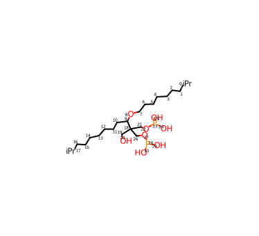 CC(C)CCCCCCCOC(CCCCCCCC(C)C)C(CO)(COP(O)O)COP(O)O